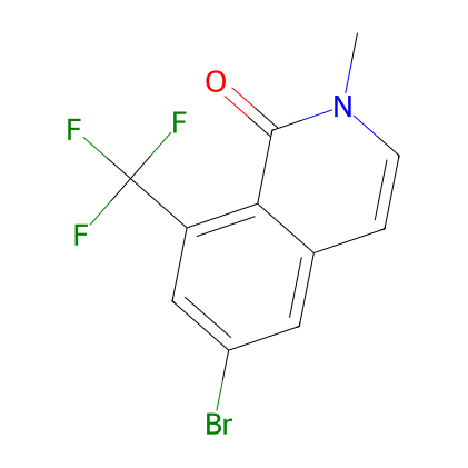 Cn1ccc2cc(Br)cc(C(F)(F)F)c2c1=O